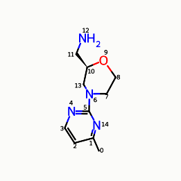 Cc1ccnc(N2CCO[C@H](CN)C2)n1